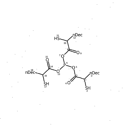 CCCCCCCCCCC(S)C(=O)OP(OC(=O)C(S)CCCCCCCCCC)OC(=O)C(S)CCCCCCCCCC